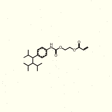 C=CC(=O)OCCOC(=O)Nc1ccc(C(C(C)C)C(C(C)C)C(C)C)cc1